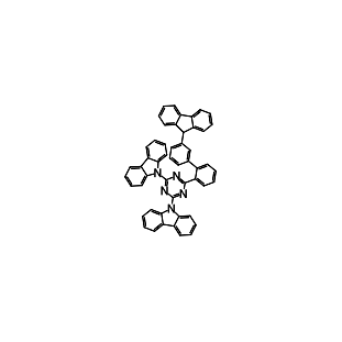 c1cc(-c2ccccc2-c2nc(-n3c4ccccc4c4ccccc43)nc(-n3c4ccccc4c4ccccc43)n2)cc(C2c3ccccc3-c3ccccc32)c1